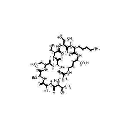 CC[C@H](C)[C@H](NC(=O)[C@H](CC(=O)O)NC(=O)[C@@H](NC(=O)[C@@H](NC(=O)[C@@H](N)[C@@H](C)O)[C@@H](C)CC)[C@@H](C)CC)C(=O)N[C@@H](CC(C)C)C(=O)N[C@H](C(=O)N[C@@H](CCCCN)C(=O)N[C@@H](CCCNC(=N)N)C(=O)O)[C@@H](C)O